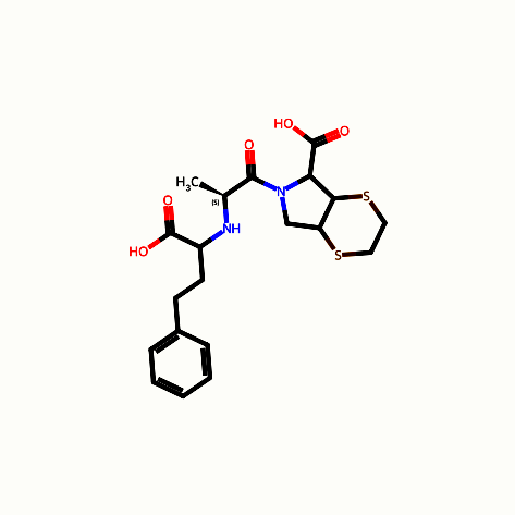 C[C@H](NC(CCc1ccccc1)C(=O)O)C(=O)N1CC2SCCSC2C1C(=O)O